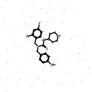 CC(C)COc1ccc(CN(Cc2ccc(F)cc2Cl)C(=O)NC2CCNCC2)cc1